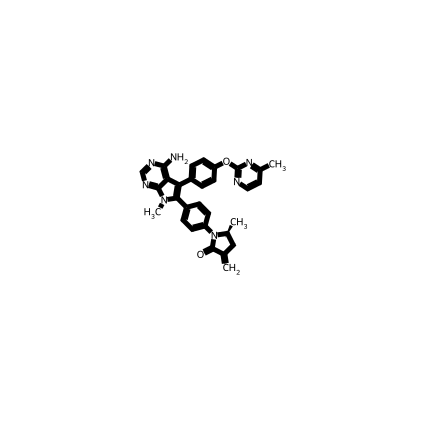 C=C1C[C@H](C)N(c2ccc(-c3c(-c4ccc(Oc5nccc(C)n5)cc4)c4c(N)ncnc4n3C)cc2)C1=O